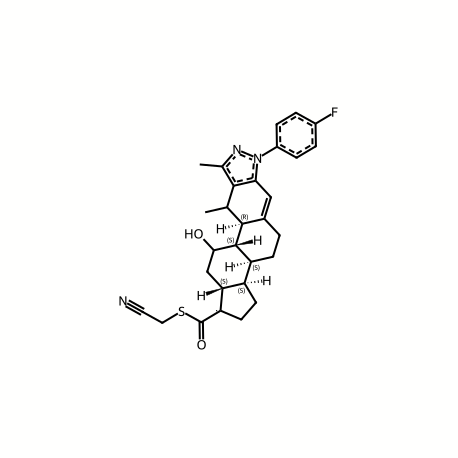 Cc1nn(-c2ccc(F)cc2)c2c1C(C)[C@H]1C(=C2)CC[C@H]2[C@H]3CC[C](C(=O)SCC#N)[C@@H]3CC(O)[C@@H]21